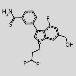 NC(=S)c1cccc(-c2cn(CCC(F)F)c3cc(CO)cc(F)c23)c1